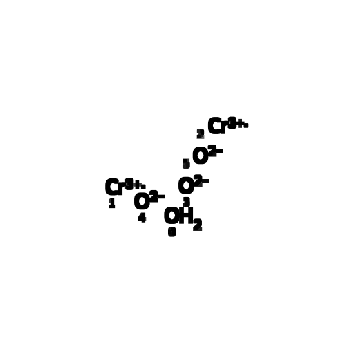 O.[Cr+3].[Cr+3].[O-2].[O-2].[O-2]